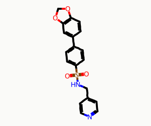 O=S(=O)(NCc1ccncc1)c1ccc(-c2ccc3c(c2)OCO3)cc1